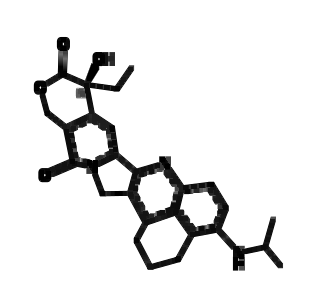 CC[C@@]1(O)C(=O)OCc2c1cc1n(c2=O)Cc2c-1nc1ccc(NC(C)C)c3c1c2CCC3